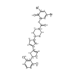 O=C(Cn1cc(Br)cc(Br)c1=O)N1CCC(c2nc(C3=NOC(c4c(Cl)cccc4Cl)C3)cs2)CC1